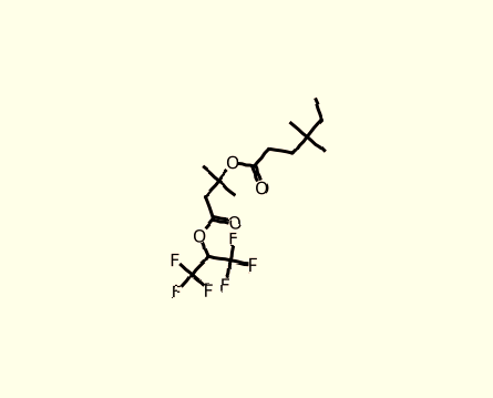 CCC(C)(C)CCC(=O)OC(C)(C)CC(=O)OC(C(F)(F)F)C(F)(F)F